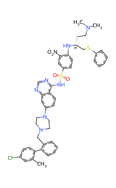 Cc1cc(Cl)ccc1-c1ccccc1CN1CCN(c2ccc3c(NS(=O)(=O)c4ccc(N[C@H](CCN(C)C)CSc5ccccc5)c([N+](=O)[O-])c4)ncnc3c2)CC1